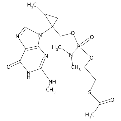 CNc1nc2c(ncn2C2(COP(=O)(OCCSC(C)=O)N(C)C)CC2C)c(=O)[nH]1